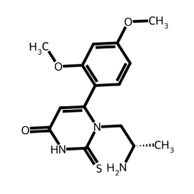 COc1ccc(-c2cc(=O)[nH]c(=S)n2C[C@H](C)N)c(OC)c1